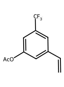 C=Cc1cc(OC(C)=O)cc(C(F)(F)F)c1